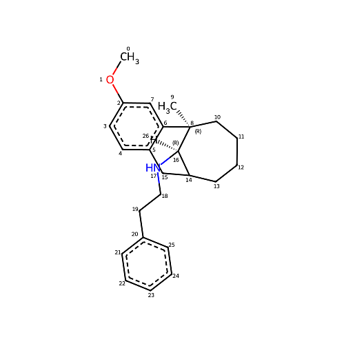 COc1ccc2c(c1)[C@@]1(C)CCCCC(C2)[C@H]1NCCc1ccccc1